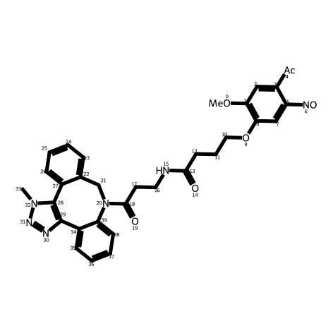 COc1cc(C(C)=O)c(N=O)cc1OCCCC(=O)NCCC(=O)N1Cc2ccccc2-c2c(nnn2C)-c2ccccc21